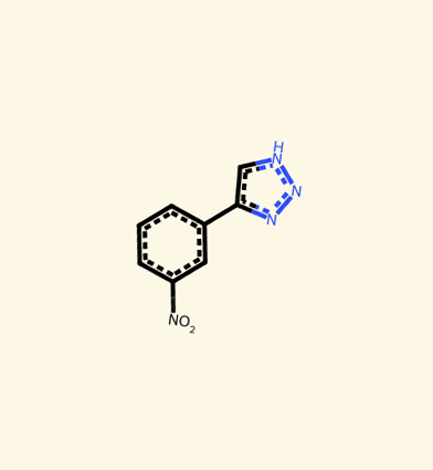 O=[N+]([O-])c1cccc(-c2c[nH]nn2)c1